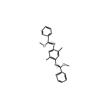 CO/C(=N\c1cc(C)c(/N=C(\OC)c2ccccc2)cc1C)c1ccccc1